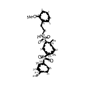 COc1ccccc1CCNS(=O)(=O)c1cc(S(=O)(=O)c2ccc(F)cc2)ccc1C